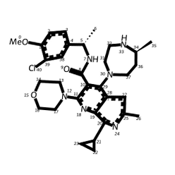 COc1ccc([C@H](C)NC(=O)c2c(N3CCOCC3)nc3c(C4CC4)nc(C)cc3c2N2CCN[C@@H](C)CC2)cc1Cl